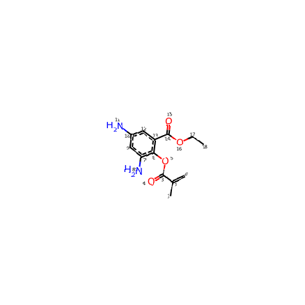 C=C(C)C(=O)Oc1c(N)cc(N)cc1C(=O)OCC